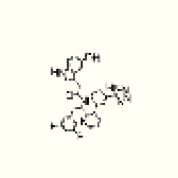 O=C(Cc1c[nH]c2ccc(O)cc12)NC(Cc1cc(F)cc(F)c1)c1ncccc1-c1cccc(-c2nnn[nH]2)c1